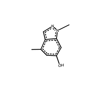 Cc1cc(O)cc2c1cnn2C